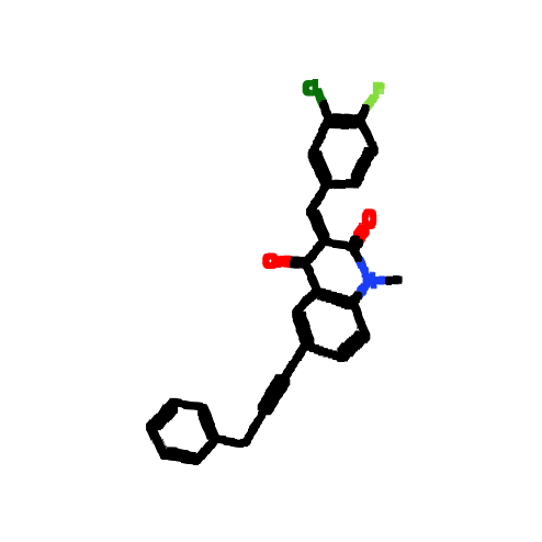 CN1C(=O)/C(=C\c2ccc(F)c(Cl)c2)C(=O)c2cc(C#CCc3ccccc3)ccc21